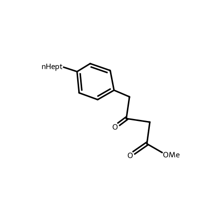 CCCCCCCc1ccc(CC(=O)CC(=O)OC)cc1